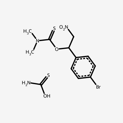 CN(C)C(=S)OC(C[N+](=O)[O-])c1ccc(Br)cc1.NC(O)=S